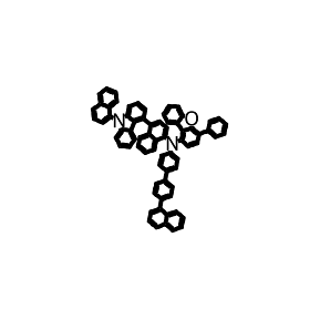 c1ccc(-c2ccc(N(c3ccc(-c4ccc(-c5cccc6ccccc56)cc4)cc3)c3ccc(-c4cccc5c4c4ccccc4n5-c4cccc5ccccc45)c4ccccc34)c3c2oc2ccccc23)cc1